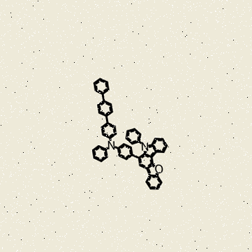 c1ccc(-c2ccc(-c3ccc(N(c4ccccc4)c4ccc(-c5cc6c7ccccc7oc6c6c7ccccc7n(-c7ccccc7)c56)cc4)cc3)cc2)cc1